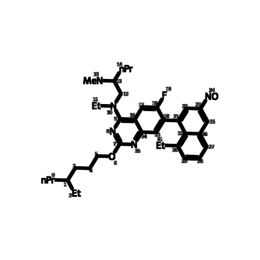 CCCC(CC)CCCOc1nc(N(CC)CC(CCC)NC)c2cc(F)c(-c3cc(N=O)cc4cccc(CC)c34)cc2n1